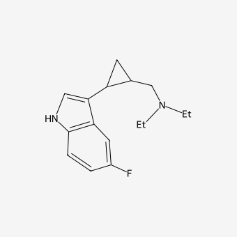 CCN(CC)CC1CC1c1c[nH]c2ccc(F)cc12